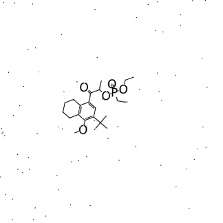 CCOP(=O)(CC)OC(C)C(=O)c1cc(C(C)(C)C)c(OC)c2c1CCCC2